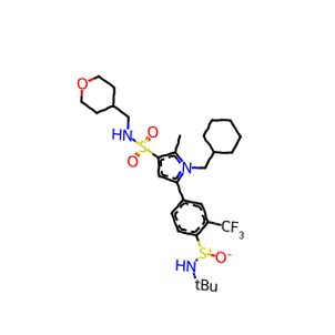 Cc1c(S(=O)(=O)NCC2CCOCC2)cc(-c2ccc([S+]([O-])NC(C)(C)C)c(C(F)(F)F)c2)n1CC1CCCCC1